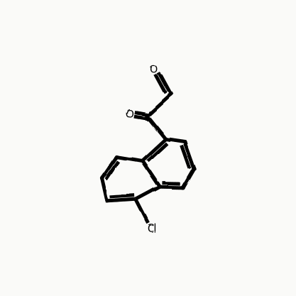 O=CC(=O)c1cccc2c(Cl)cccc12